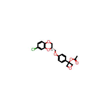 CC(=O)OC1(c2ccc(OC[C@H]3COc4ccc(Cl)cc4O3)cc2)COC1